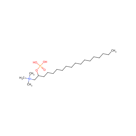 CCCCCCCCCCCCCCCCC(C[N+](C)(C)C)OP(=O)(O)O